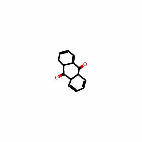 O=C1C2=CC=CCC2C(=O)C2C=CC=CC12